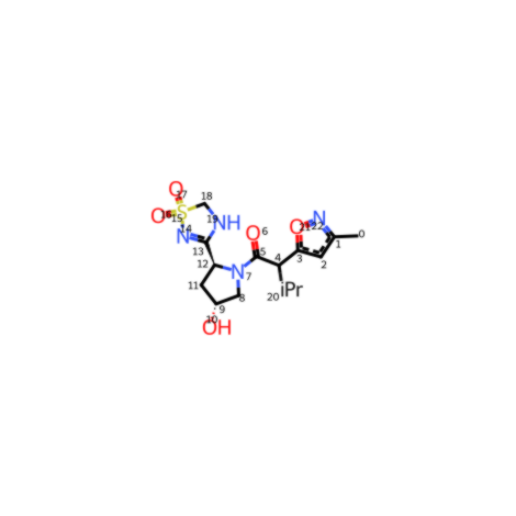 Cc1cc(C(C(=O)N2C[C@H](O)C[C@H]2C2=NS(=O)(=O)CN2)C(C)C)on1